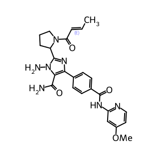 C/C=C/C(=O)N1CCCC1c1nc(-c2ccc(C(=O)Nc3cc(OC)ccn3)cc2)c(C(N)=O)n1N